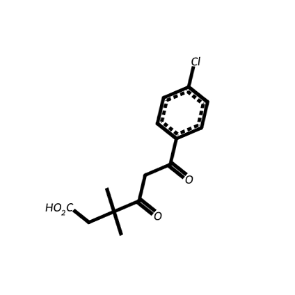 CC(C)(CC(=O)O)C(=O)CC(=O)c1ccc(Cl)cc1